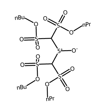 CCCCOS(=O)(=O)C([S+]([O-])C(S(=O)(=O)OCCC)S(=O)(=O)OCCCC)S(=O)(=O)OCCC